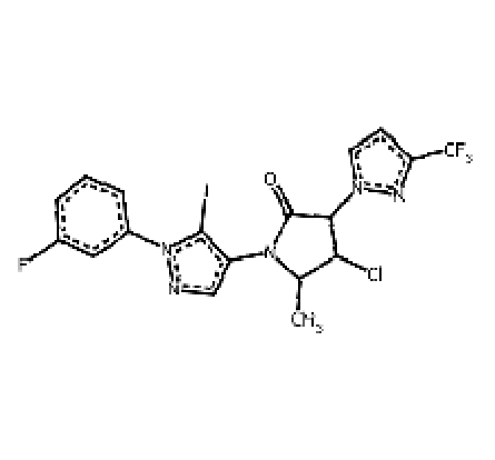 CC1C(Cl)C(n2ccc(C(F)(F)F)n2)C(=O)N1c1cnn(-c2cccc(F)c2)c1I